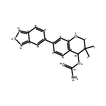 CC1(C)COc2cc(-c3ccc4nsnc4c3)ccc2C1OC(N)=O